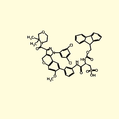 COc1cc2c(cc1-c1cccc(NC(=O)[C@H](CS(=O)(=O)O)NC(=O)OCC3c4ccccc4-c4ccccc43)c1)-c1c(c(C(=O)N3CCOCC3(C)C)nn1-c1cc(Cl)cc(Cl)c1)CO2